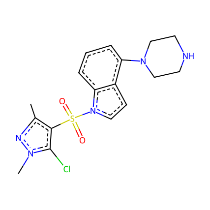 Cc1nn(C)c(Cl)c1S(=O)(=O)n1ccc2c(N3CCNCC3)cccc21